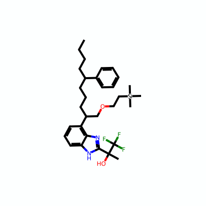 CCCCC(CCCC(COCC[Si](C)(C)C)c1cccc2[nH]c(C(C)(O)C(F)(F)F)nc12)c1ccccc1